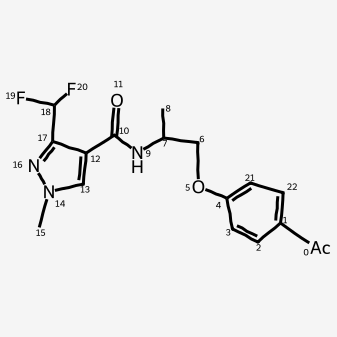 CC(=O)c1ccc(OCC(C)NC(=O)c2cn(C)nc2C(F)F)cc1